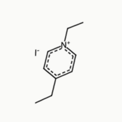 CCc1cc[n+](CC)cc1.[I-]